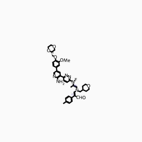 COc1cc(-c2cnc(N)c(-c3ccc(N(F)/C(C)=C/N(/C=C(\C=O)c4ccc(C)cc4)CC4CCOCC4)nn3)c2)ccc1OC[C@H]1COCCO1